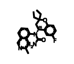 CCC1(CC)C[C@@H](N(C(N)=O)c2cccc3cnc(C)cc23)c2cc(F)ccc2O1